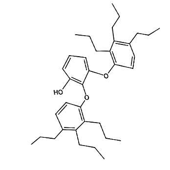 CCCc1ccc(Oc2cccc(O)c2Oc2ccc(CCC)c(CCC)c2CCC)c(CCC)c1CCC